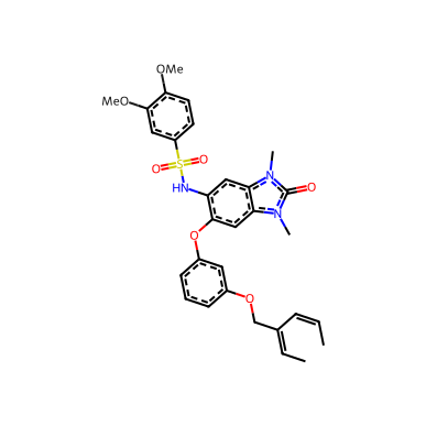 C/C=C\C(=C/C)COc1cccc(Oc2cc3c(cc2NS(=O)(=O)c2ccc(OC)c(OC)c2)n(C)c(=O)n3C)c1